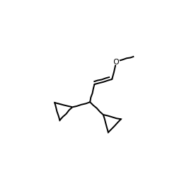 CO/C=C/C(C1CC1)C1CC1